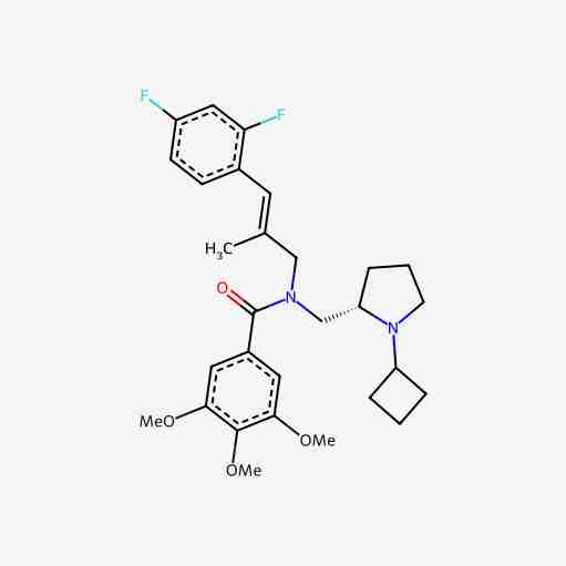 COc1cc(C(=O)N(C/C(C)=C/c2ccc(F)cc2F)C[C@@H]2CCCN2C2CCC2)cc(OC)c1OC